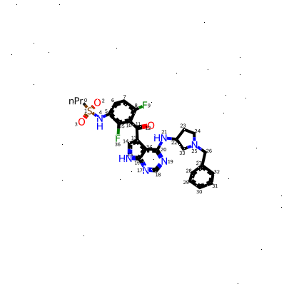 CCCS(=O)(=O)Nc1ccc(F)c(C(=O)c2c[nH]c3ncnc(NC4CCN(Cc5ccccc5)C4)c23)c1F